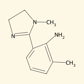 Cc1cccc(C2=NCCN2C)c1N